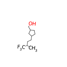 CC(CCC1CCC(CO)C1)C(F)(F)F